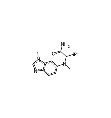 CC(C)C(C(N)=O)N(C)c1ccc2ncn(C)c2c1